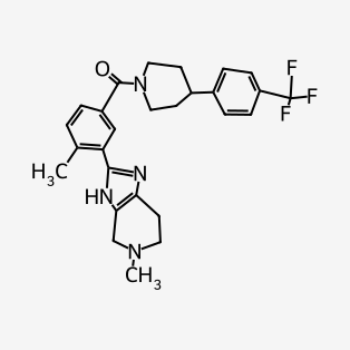 Cc1ccc(C(=O)N2CCC(c3ccc(C(F)(F)F)cc3)CC2)cc1-c1nc2c([nH]1)CN(C)CC2